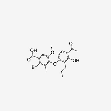 CCCc1c(Oc2c(OC)cc(C(=O)O)c(Br)c2C)ccc(C(C)=O)c1O